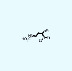 CCCC(CCNC(=O)O)N(CC)CC